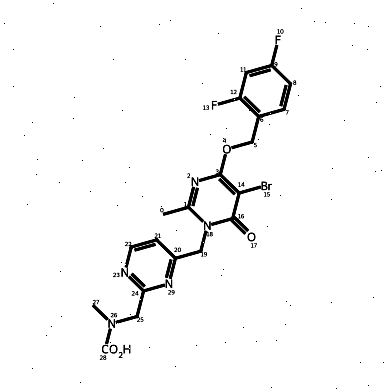 Cc1nc(OCc2ccc(F)cc2F)c(Br)c(=O)n1Cc1ccnc(CN(C)C(=O)O)n1